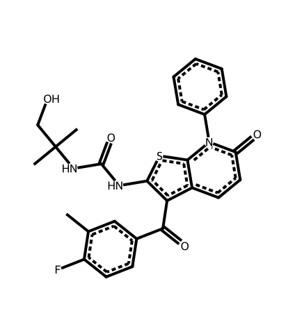 Cc1cc(C(=O)c2c(NC(=O)NC(C)(C)CO)sc3c2ccc(=O)n3-c2ccccc2)ccc1F